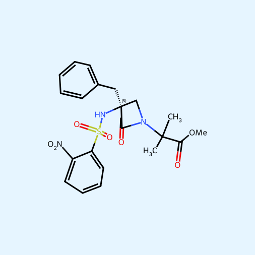 COC(=O)C(C)(C)N1C[C@](Cc2ccccc2)(NS(=O)(=O)c2ccccc2[N+](=O)[O-])C1=O